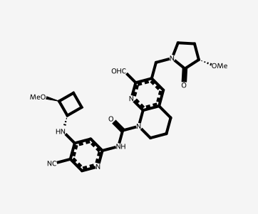 CO[C@H]1CCN(Cc2cc3c(nc2C=O)N(C(=O)Nc2cc(N[C@H]4CC[C@@H]4OC)c(C#N)cn2)CCC3)C1=O